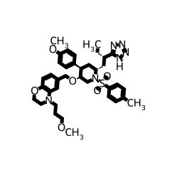 CC[C@@H](C[C@H]1C[C@H](c2ccc(OC)cc2)[C@@H](OCc2ccc3c(c2)N(CCCOC)CCO3)CN1S(=O)(=O)c1ccc(C)cc1)c1nnn[nH]1